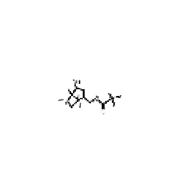 CC(C)(C)C(=O)OCC1=CC2(O)[C@@H]3C[C@H]1C32C